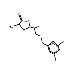 CC1CC(C(O)COCc2cc(F)cc(F)c2)OC1=O